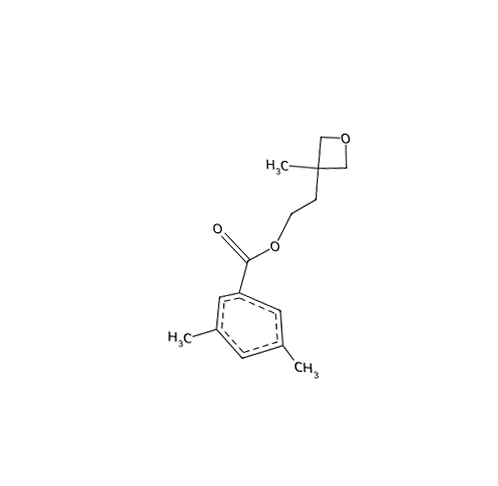 Cc1cc(C)cc(C(=O)OCCC2(C)COC2)c1